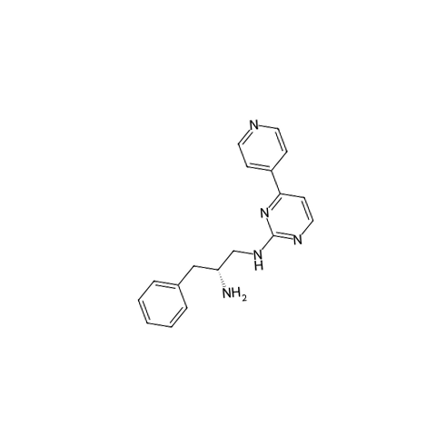 N[C@@H](CNc1nccc(-c2ccncc2)n1)Cc1ccccc1